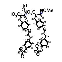 CCO/N=C(/C)C(Cc1ccc(OCCc2ccc(OS(C)(=O)=O)cc2)cc1)C(=O)O.CO/N=C(\C)C(Cc1ccc(OCCc2ccc(OS(C)(=O)=O)cc2)cc1)C(=O)O